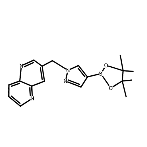 CC1(C)OB(c2cnn(Cc3cnc4cccnc4c3)c2)OC1(C)C